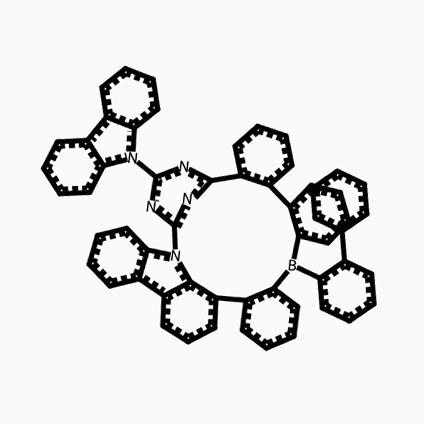 c1ccc(-c2ccccc2B2c3ccccc3-c3ccccc3-c3nc(-n4c5ccccc5c5ccccc54)nc(n3)-n3c4ccccc4c4cccc(c43)-c3ccccc32)cc1